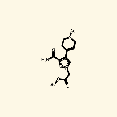 CC(=O)N1CC=C(c2cn(CC(=O)OC(C)(C)C)nc2C(N)=O)CC1